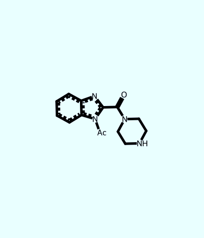 CC(=O)n1c(C(=O)N2CCNCC2)nc2ccccc21